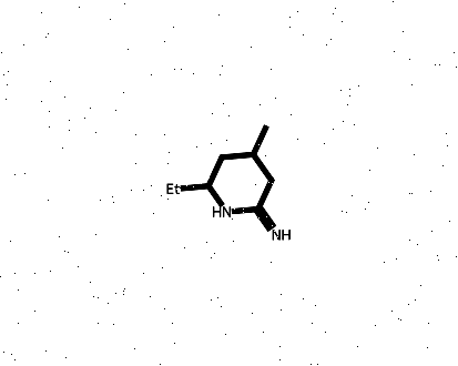 CCC1CC(C)CC(=N)N1